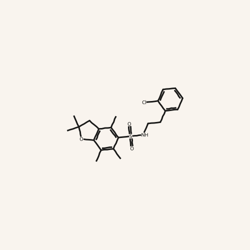 Cc1c(C)c(S(=O)(=O)NCCc2ccccc2Cl)c(C)c2c1OC(C)(C)C2